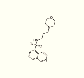 O=S(=O)(NCCCN1CCOCC1)c1cccc2cnccc12